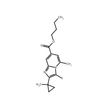 CCCCOC(=O)c1cc(C)n2c(I)c(C3(C)CC3)nc2c1